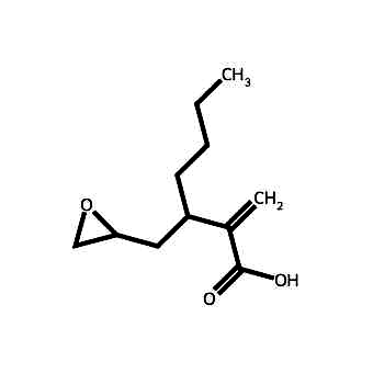 C=C(C(=O)O)C(CCCC)CC1CO1